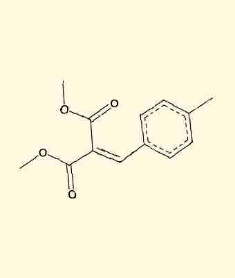 COC(=O)C(=Cc1ccc(C)cc1)C(=O)OC